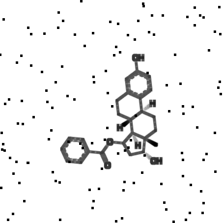 C[C@]12CC[C@@H]3c4ccc(O)cc4CC[C@H]3[C@@H]1C(OC(=O)c1ccccc1)C[C@H]2O